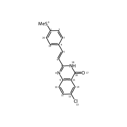 CSc1ccc(/C=C/c2nc3ccc(Cl)cc3c(=O)[nH]2)cc1